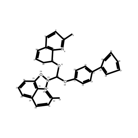 Cc1ccc2c(n1)C(OC(Oc1ccc(-c3ccccc3)cc1)N1Oc3cccc4ccc(C)[n+]1c34)CC=C2